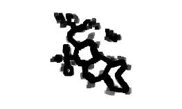 C=C(C)Cc1ccc2c(ccc3ccccc32)c1S(=O)(=O)[O-].[Na+]